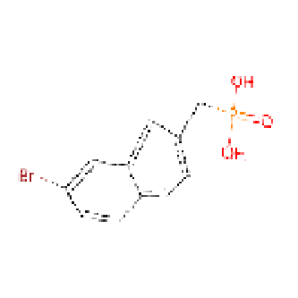 O=P(O)(O)Cc1ccc2ccc(Br)cc2c1